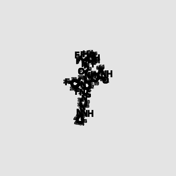 O=C(Cn1nc(C(F)(F)F)c2c1C(F)(F)[C@@H]1CC[C@H]21)N[C@@H](Cc1cc(F)cc(F)c1)c1nc2nc(N3CCN(c4nc5ccccc5[nH]4)CC3)sc2cc1-c1ccc2c(c1)C(=O)NC21CC1